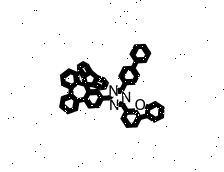 c1ccc(-c2ccc(-c3nc(-c4ccc5c(c4)C4(c6ccccc6-c6ccccc6-5)c5ccccc5-c5ccccc54)nc(-c4cccc5c4oc4ccccc45)n3)cc2)cc1